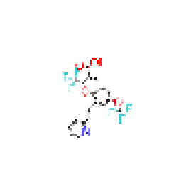 O=C(O)C1=Cc2cc(OC(F)(F)F)cc(CCc3ccccn3)c2OC1C(F)(F)F